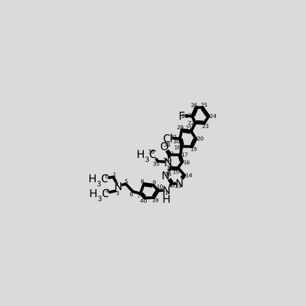 CCN(CC)CCc1ccc(Nc2ncc3cc(-c4ccc(-c5ccccc5F)cc4Cl)c(=O)n(CC)c3n2)cc1